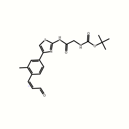 Cc1cc(-c2csc(NC(=O)CNC(=O)OC(C)(C)C)n2)ccc1/C=C\C=O